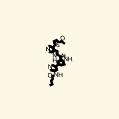 CCCCC(=O)Nc1cncc(-c2ccc3[nH]nc(-c4cc5c(-c6ccc(C(C)=O)s6)cncc5[nH]4)c3c2)c1